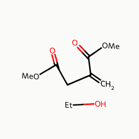 C=C(CC(=O)OC)C(=O)OC.CCO